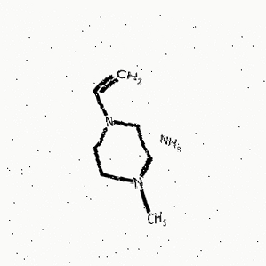 C=CN1CCN(C)CC1.N